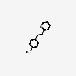 [CH2]c1ccc(CCc2ccccn2)cc1